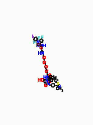 Cc1ncsc1-c1ccc(CNC(=O)[C@@H]2C[C@@H](O)CN2C(=O)[C@@H](NC(=O)CCOCCOCCOCCOCCNCCCONC(=O)c2ccc(F)c(F)c2Nc2ccc(I)cc2F)C(C)(C)C)cc1